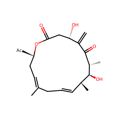 C=C1C(=O)[C@H](C)[C@@H](O)[C@@H](C)/C=C/C/C(C)=C\C[C@@H](C(C)=O)OC(=O)C[C@@H]1O